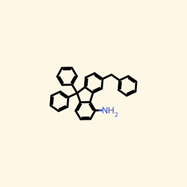 Nc1cccc2c1-c1cc(Cc3ccccc3)ccc1C2(c1ccccc1)c1ccccc1